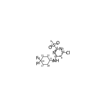 CS(=O)(=O)c1nc(Cl)cc(NC2CCC(F)(F)CC2)n1